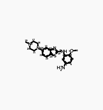 COc1ccc(N)cc1Nc1nc2cc(N3CCN(C)CC3)ccc2s1